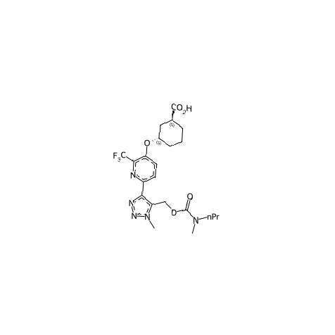 CCCN(C)C(=O)OCc1c(-c2ccc(O[C@H]3CCC[C@H](C(=O)O)C3)c(C(F)(F)F)n2)nnn1C